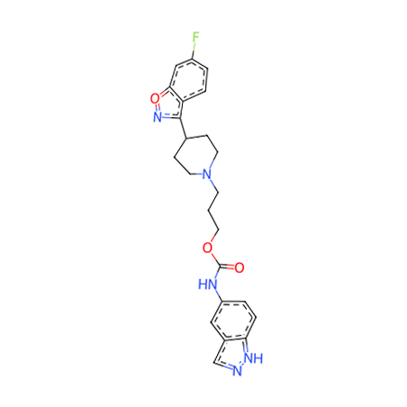 O=C(Nc1ccc2[nH]ncc2c1)OCCCN1CCC(c2noc3cc(F)ccc23)CC1